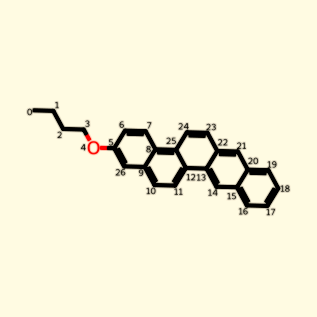 CCCCOc1ccc2c(ccc3c4cc5ccccc5cc4ccc23)c1